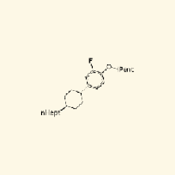 CCCCCCC[C@H]1CC[C@H](c2ccc(OC(C)CCC)c(F)c2)CC1